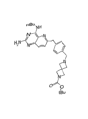 CCCCNc1nc(N)nc2ccc(Cc3ccc(CN4CC5(C4)CN(C(=O)OC(C)(C)C)C5)cc3)nc12